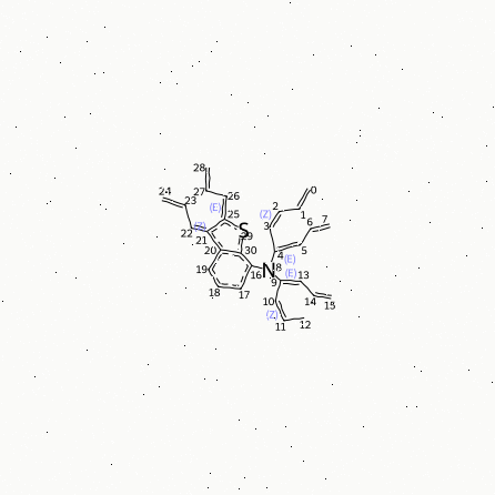 C=C/C=C\C(=C/C=C)N(C(/C=C\C)=C/C=C)c1cccc2c(=C/C=C)/c(=C\C=C)sc12